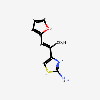 Nc1nc(C(=Cc2ccco2)C(=O)O)cs1